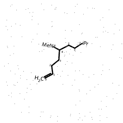 C=CCCC(CCC(C)C)NC